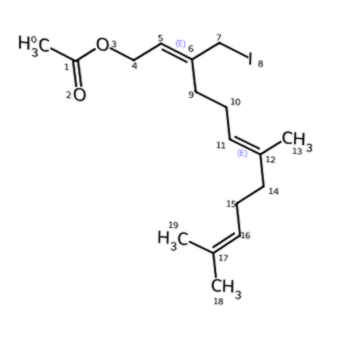 CC(=O)OC/C=C(/CI)CC/C=C(\C)CCC=C(C)C